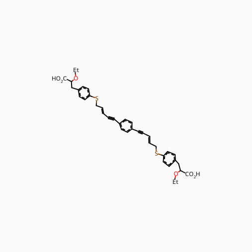 CCOC(Cc1ccc(SC/C=C/C#Cc2ccc(C#C/C=C/CSc3ccc(CC(OCC)C(=O)O)cc3)cc2)cc1)C(=O)O